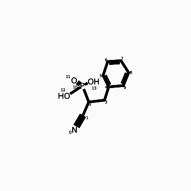 N#CC(Cc1ccccc1)P(=O)(O)O